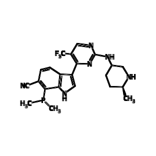 C[C@H]1CCC(Nc2ncc(C(F)(F)F)c(-c3c[nH]c4c(P(C)C)c(C#N)ccc34)n2)CN1